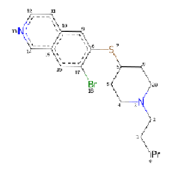 CC(C)CCN1CCC(Sc2cc3ccncc3cc2Br)CC1